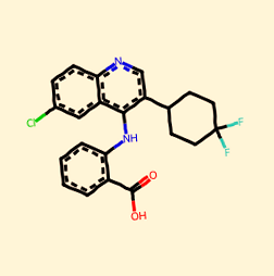 O=C(O)c1ccccc1Nc1c(C2CCC(F)(F)CC2)cnc2ccc(Cl)cc12